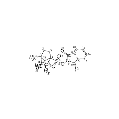 CC12CCC(S(=O)(=O)ON3C(=O)c4ccccc4C3=O)(CC1=O)C2(C)C